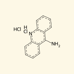 Cl.Cl.Nc1c2ccccc2nc2ccccc12